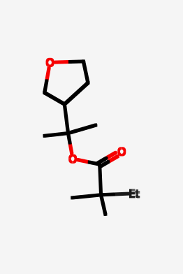 CCC(C)(C)C(=O)OC(C)(C)C1CCOC1